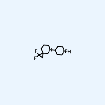 [2H]N1CCC(N2CCCC3(C2)CC3(F)F)CC1